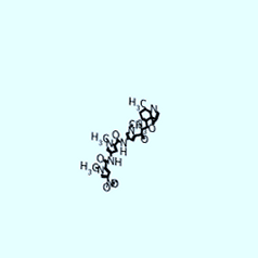 CC1CC2=C(CC(C(=O)c3cc(NC(=O)c4cc(NC(=O)c5cc([N+](=O)[O-])cn5C)cn4C)cn3C)S2)C23C(=O)C2=CN=C13